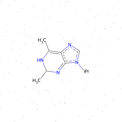 CC1=c2ncn(C(C)C)c2=NC(C)N1